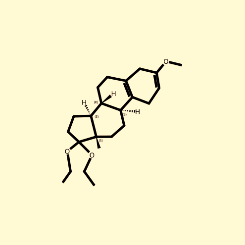 CCOC1(OCC)CC[C@H]2[C@@H]3CCC4=C(CC=C(OC)C4)[C@H]3CC[C@@]21C